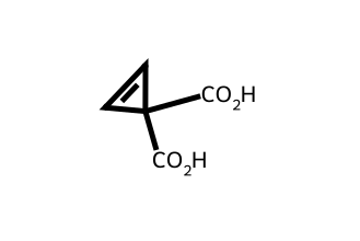 O=C(O)C1(C(=O)O)C=C1